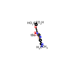 CN(C)c1ccc(-c2ccc(-c3nc4ccc(N(CCCCCOc5ccc(C(=O)O)c(C(=O)O)c5)C(=O)OC(C)(C)C)cc4s3)cc2)cn1